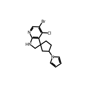 Clc1c(Br)cnc2c1C1(CCC(n3cccc3)C1)CN2